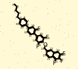 CCCCCc1ccc(-c2ccc(-c3cc(F)c(OCc4ccc5c(F)c(F)c(F)cc5c4)c(F)c3)c(F)c2)cc1